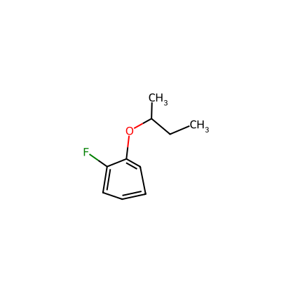 CCC(C)Oc1ccccc1F